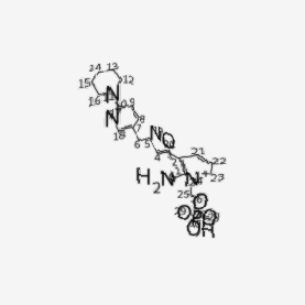 Nc1c(-c2cc(Cc3ccc(N4CCCCC4)nc3)no2)ccc[n+]1COP(=O)([O-])O